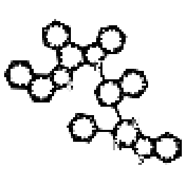 c1ccc(-c2nc3sc4ccccc4c3nc2-c2ccc(-n3c4ccccc4c4c5ccccc5c5c(sc6ccc7ccccc7c65)c43)c3ccccc23)cc1